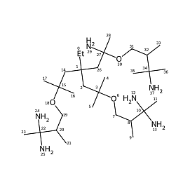 CCC(CC(C)(C)OCC(C)C(C)(N)N)(CC(C)(C)OCC(C)C(C)(N)N)CC(C)(N)OCC(C)C(C)(C)N